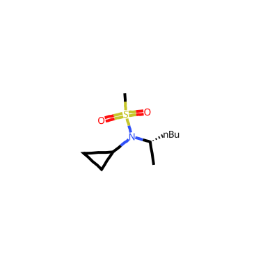 CCCC[C@H](C)N(C1CC1)S(C)(=O)=O